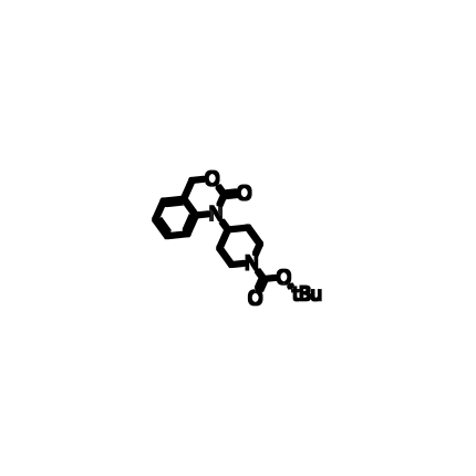 CC(C)(C)OC(=O)N1CCC(N2C(=O)OCc3ccccc32)CC1